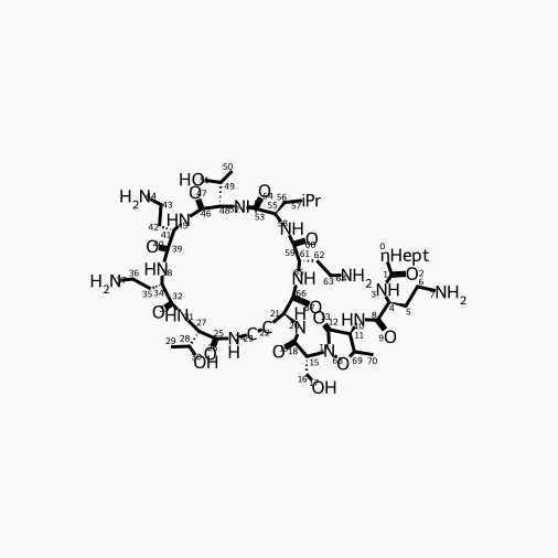 CCCCCCCC(=O)N[C@@H](CCN)C(=O)N[C@@H]1C(=O)N([C@H](CO)C(=O)N[C@H]2CCNC(=O)[C@H](C(C)O)NC(=O)[C@H](CCN)NC(=O)[C@H](CCN)NC(=O)[C@H](C(C)O)NC(=O)[C@@H](CC(C)C)NC(=O)[C@H](CCN)NC2=O)OC1C